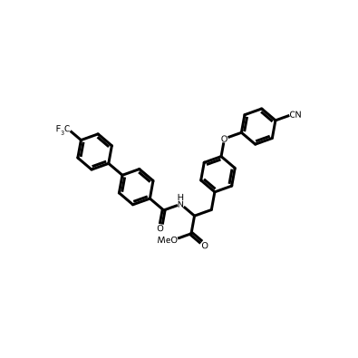 COC(=O)C(Cc1ccc(Oc2ccc(C#N)cc2)cc1)NC(=O)c1ccc(-c2ccc(C(F)(F)F)cc2)cc1